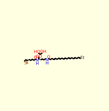 CCC=CCC=CCC=CCC=CCC=CCC=CCCC(=O)NCCCC[C@H](NC(=O)CCCC[C@@H]1CCSS1)C(=O)OC(CO)CO